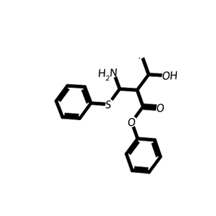 [CH2]C(O)C(C(=O)Oc1ccccc1)C(N)Sc1ccccc1